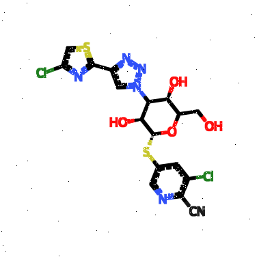 N#Cc1ncc(S[C@H]2OC(CO)[C@H](O)C(n3cc(-c4nc(Cl)cs4)nn3)[C@@H]2O)cc1Cl